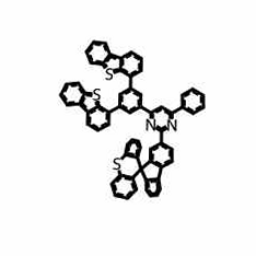 c1ccc(-c2cc(-c3cc(-c4cccc5c4sc4ccccc45)cc(-c4cccc5c4sc4ccccc45)c3)nc(-c3ccc4c(c3)C3(c5ccccc5Sc5ccccc53)c3ccccc3-4)n2)cc1